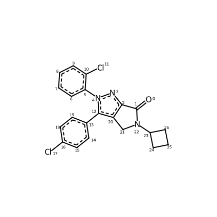 O=C1c2nn(-c3ccccc3Cl)c(-c3ccc(Cl)cc3)c2CN1C1CCC1